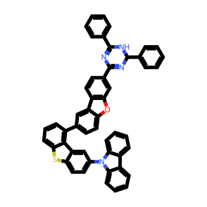 c1ccc(C2=NC(c3ccc4c(c3)oc3ccc(-c5cccc6sc7ccc(-n8c9ccccc9c9ccccc98)cc7c56)cc34)=NC(c3ccccc3)N2)cc1